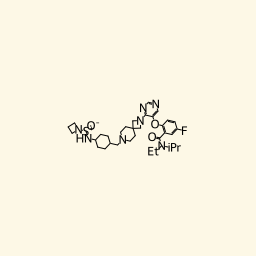 CCN(C(=O)c1cc(F)ccc1Oc1cncnc1N1CC2(CCN(CC3CCC(N[S+]([O-])N4CCC4)CC3)CC2)C1)C(C)C